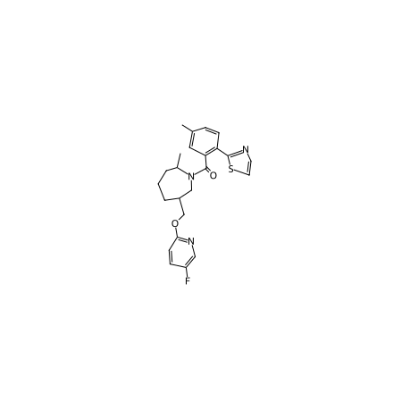 Cc1ccc(-c2nccs2)c(C(=O)N2CC(COc3ccc(F)cn3)CCCC2C)c1